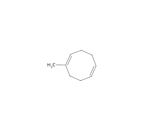 [CH2]C1=CCCC=CCC1